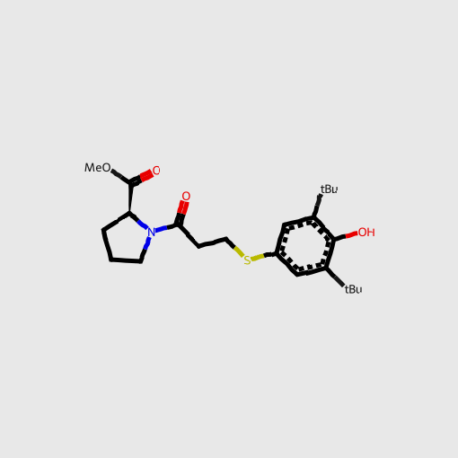 COC(=O)[C@@H]1CCCN1C(=O)CCSc1cc(C(C)(C)C)c(O)c(C(C)(C)C)c1